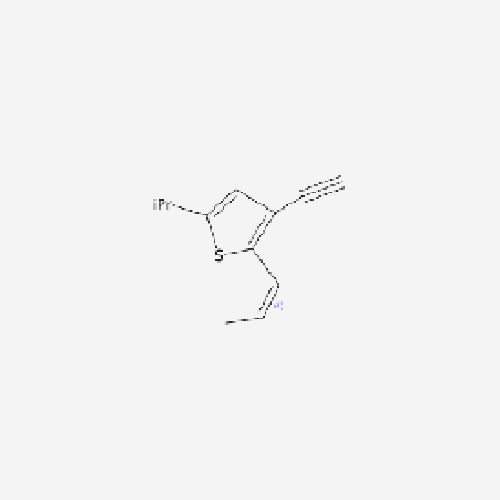 C#Cc1cc(C(C)C)sc1/C=C\C